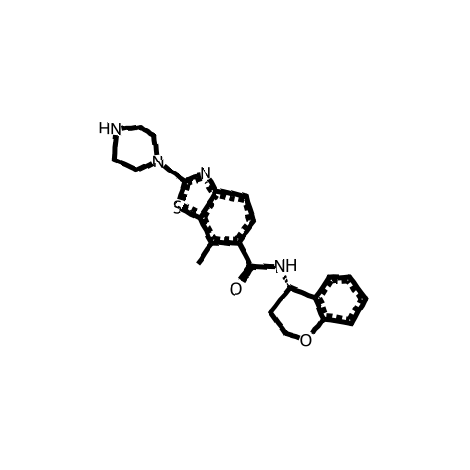 Cc1c(C(=O)N[C@H]2CCOc3ccccc32)ccc2nc(N3CCNCC3)sc12